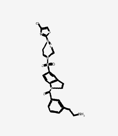 NCCc1cccc(C(=O)N2CCc3cc(S(=O)(=O)N4CCN(c5nc(Cl)cs5)CC4)ccc32)c1